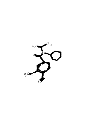 COc1cc(C(=O)N(C(C)C)C2CCCCC2)ccc1C=O